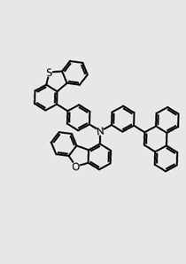 c1cc(-c2cc3ccccc3c3ccccc23)cc(N(c2ccc(-c3cccc4sc5ccccc5c34)cc2)c2cccc3oc4ccccc4c23)c1